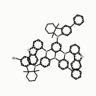 CC(C)(C)c1ccc2c(c1)C1(C)CCCCC1(C)N2c1ccc2c(c1)N(c1cccc3oc4ccccc4c13)c1cc(N3c4ccc(-c5ccccc5)cc4C4(C)CCCCC34C)cc3c1B2c1ccc(-c2ccccc2)cc1N3c1cccc2oc3ccccc3c12